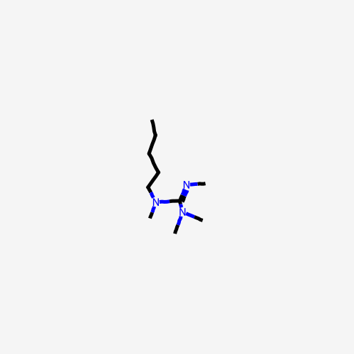 CCCCCN(C)C(=NC)N(C)C